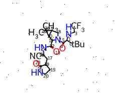 CC(C)(C)C(NCC(F)(F)F)C(=O)N1CC2C(C1C(=O)NC(C#N)CC1CCNC1=O)C2(C)C